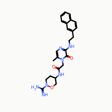 Cc1cnc(NCCc2ccc3ccccc3c2)c(=O)n1CC(=O)NC1CCN(C(=N)N)OC1